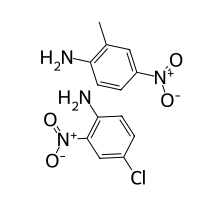 Cc1cc([N+](=O)[O-])ccc1N.Nc1ccc(Cl)cc1[N+](=O)[O-]